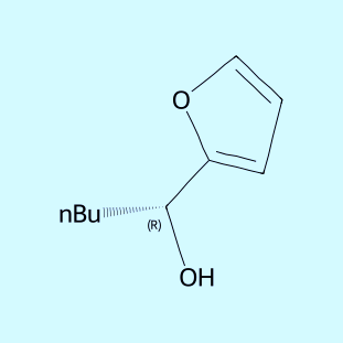 CCCC[C@@H](O)c1ccco1